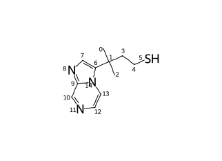 CC(C)(CCS)c1cnc2cnccn12